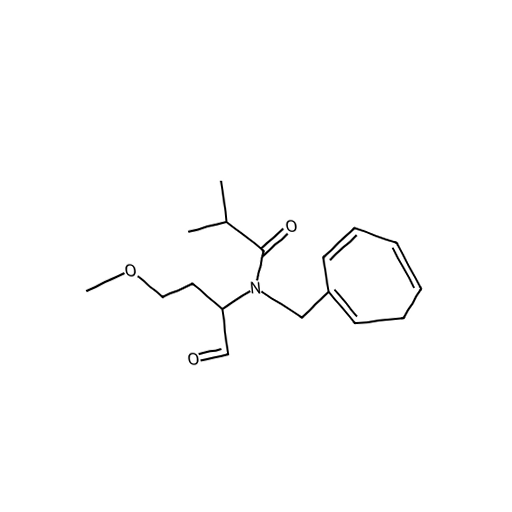 COCCC(C=O)N(CC1=CCC=CC=C1)C(=O)C(C)C